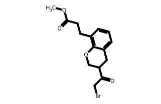 COC(=O)CCc1cccc2c1OCC(C(=O)CBr)C2